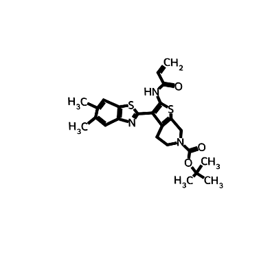 C=CC(=O)Nc1sc2c(c1-c1nc3cc(C)c(C)cc3s1)CCN(C(=O)OC(C)(C)C)C2